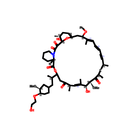 CO[C@@H]1CC(C[C@@H](C)C2CC(=O)[C@H](C)/C=C(\C)[C@@H](O)[C@@H](OC)C(=O)[C@H](C)C[C@H](C)/C=C/C=C/C=C(\C)[C@H](OC(C)C)C[C@@H]3CC[C@@H](C)[C@@](O)(O3)C(=O)C(=O)N3CCCC[C@H]3C(=O)O2)CC[C@H]1OCCO